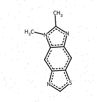 Cc1nc2cc3scnc3cc2n1C